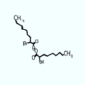 CCCCCCCC(Br)C(=O)OOC(=O)C(Br)CCCCCCC